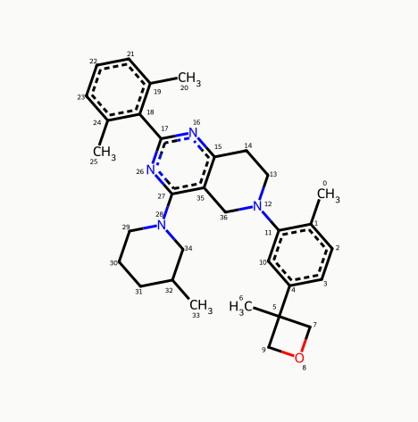 Cc1ccc(C2(C)COC2)cc1N1CCc2nc(-c3c(C)cccc3C)nc(N3CCCC(C)C3)c2C1